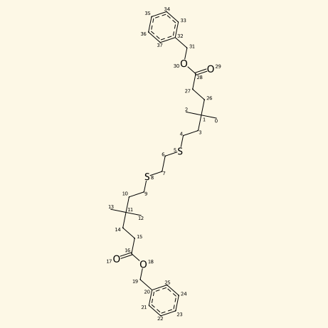 CC(C)(CCSCCSCCC(C)(C)CCC(=O)OCc1ccccc1)CCC(=O)OCc1ccccc1